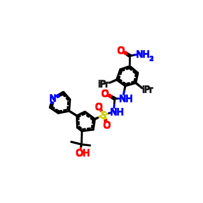 CC(C)c1cc(C(N)=O)cc(C(C)C)c1NC(=O)NS(=O)(=O)c1cc(-c2ccncc2)cc(C(C)(C)O)c1